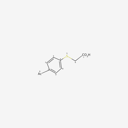 CC(=O)c1ccc(SCC(=O)O)cc1